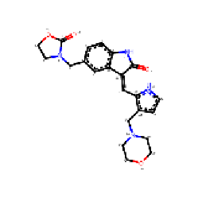 O=C1Nc2ccc(CN3CCOC3=O)cc2C1=Cc1[nH]ccc1CN1CCOCC1